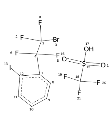 FC(F)(Br)C(F)(F)c1ccccc1I.O=S(=O)(O)C(F)(F)F